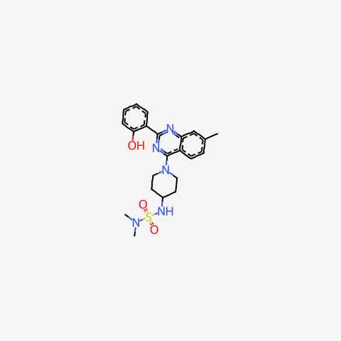 Cc1ccc2c(N3CCC(NS(=O)(=O)N(C)C)CC3)nc(-c3ccccc3O)nc2c1